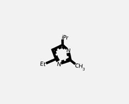 CCc1cc(C(C)C)nc(C)n1